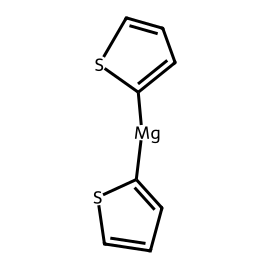 c1cs[c]([Mg][c]2cccs2)c1